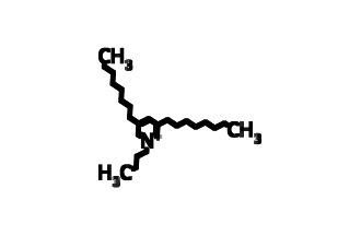 CCCCCCCCc1cc(CCCCCCCC)c[n+](CCCC)c1